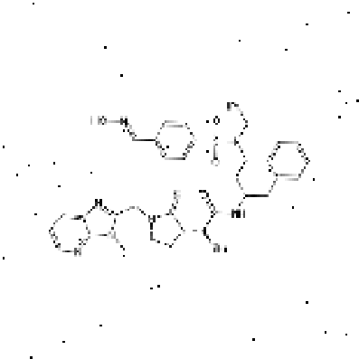 CC[C@H](C)[C@@H](C(=O)N[C@H](CCN(CC(C)C)S(=O)(=O)c1ccc(/C=N/O)cc1)Cc1ccccc1)N1CCN(Cc2nc3cccnc3n2C)C1=O